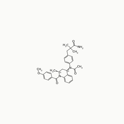 COc1ccc(C(=O)N2c3ccccc3[C@H](N(C(C)=O)c3ccc(CC(C)(C)C(N)=O)cc3)C[C@@H]2C)cc1